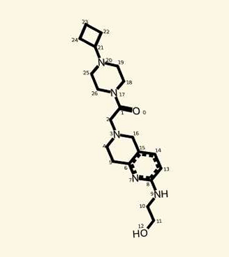 O=C(CN1CCc2nc(NCCO)ccc2C1)N1CCN(C2CCC2)CC1